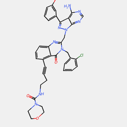 Nc1ncnc2c1c(-c1cccc(O)c1)nn2Cc1nc2cccc(C#CCCNC(=O)N3CCOCC3)c2c(=O)n1Cc1ccccc1Cl